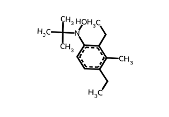 CCc1ccc(N(O)C(C)(C)C)c(CC)c1C